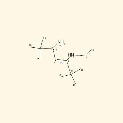 CCN/C(=C\N(N)C(C)(C)C)C(C)(C)C